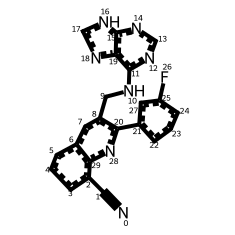 N#Cc1cccc2cc(CNc3ncnc4[nH]cnc34)c(-c3cccc(F)c3)nc12